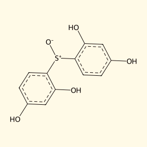 [O-][S+](c1ccc(O)cc1O)c1ccc(O)cc1O